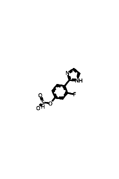 O=[SH](=O)Oc1ccc(-c2ncc[nH]2)c(F)c1